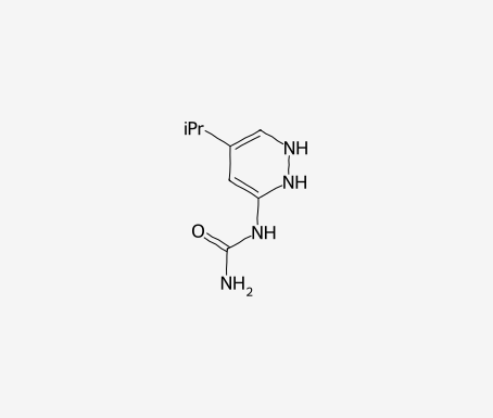 CC(C)C1=CNNC(NC(N)=O)=C1